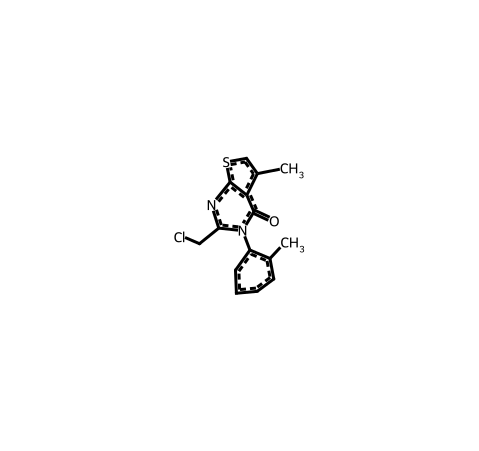 Cc1ccccc1-n1c(CCl)nc2scc(C)c2c1=O